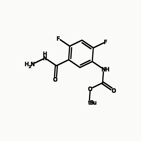 CC(C)(C)OC(=O)Nc1cc(C(=O)NN)c(F)cc1F